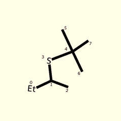 CC[C](C)SC(C)(C)C